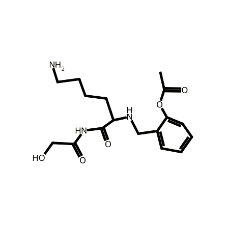 CC(=O)Oc1ccccc1CNC(CCCCN)C(=O)NC(=O)CO